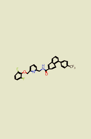 O=C(NCc1cccc(COc2c(F)cccc2F)n1)c1ccc2c(-c3ccc(C(F)(F)F)cc3)cccc2c1